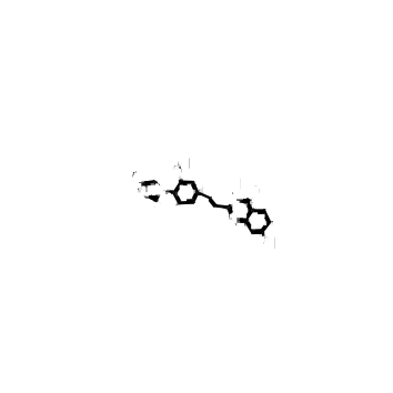 COc1cc(/C=C/c2nc3cc(Cl)ccc3c(=O)[nH]2)ccc1-n1cnc(C)c1